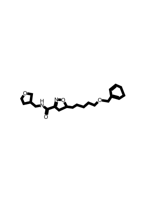 O=C(NCC1CCOC1)C1=NOC(CCCCCOCC2=CCCC=C2)C1